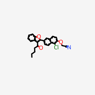 CCCCC(=O)c1c(-c2ccc3c(Cl)c(OCC#N)ccc3c2)oc2ccccc12